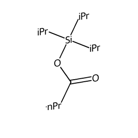 CC[CH]C(=O)O[Si](C(C)C)(C(C)C)C(C)C